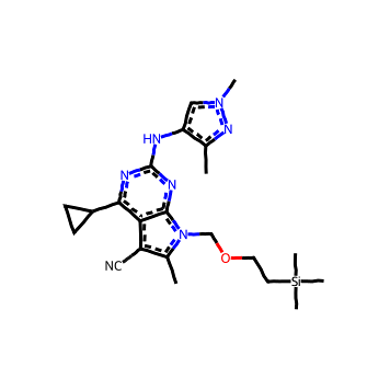 Cc1nn(C)cc1Nc1nc(C2CC2)c2c(C#N)c(C)n(COCC[Si](C)(C)C)c2n1